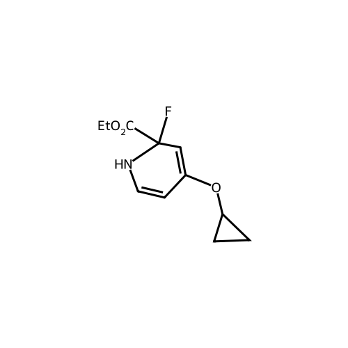 CCOC(=O)C1(F)C=C(OC2CC2)C=CN1